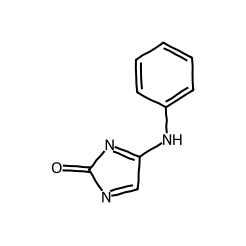 O=C1N=CC(Nc2ccccc2)=N1